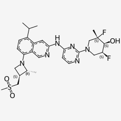 CC(C)c1ccc(N2C[C@H](CS(C)(=O)=O)[C@H]2C)c2cnc(Nc3ccnc(N4C[C@H](F)[C@H](O)[C@@](C)(F)C4)n3)cc12